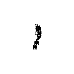 Cn1nc(N2CCC3(CCN(CCc4ccc(-n5cnnn5)nc4)CC3)C2=O)ccc1=O